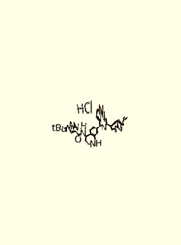 Cl.Cn1cc(-c2cn3nccc3c(-c3ccc4c(c3)CNCCC4NC(=O)c3cn(C(C)(C)C)nn3)n2)cn1